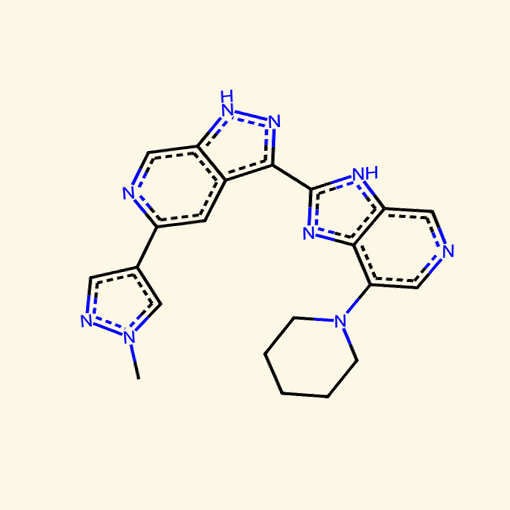 Cn1cc(-c2cc3c(-c4nc5c(N6CCCCC6)cncc5[nH]4)n[nH]c3cn2)cn1